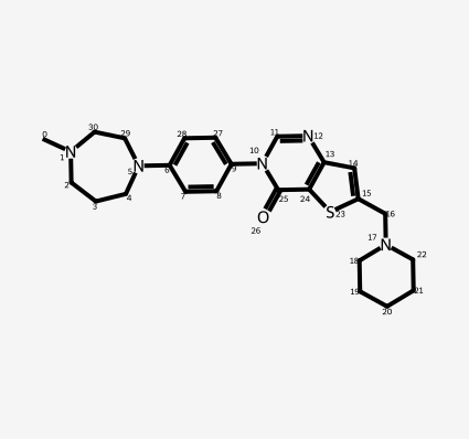 CN1CCCN(c2ccc(-n3cnc4cc(CN5CCCCC5)sc4c3=O)cc2)CC1